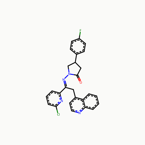 O=C1CC(c2ccc(F)cc2)CN1/N=C(\Cc1ccnc2ccccc12)c1cccc(Cl)n1